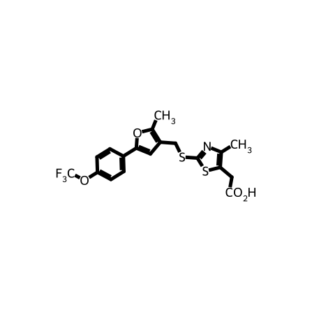 Cc1nc(SCc2cc(-c3ccc(OC(F)(F)F)cc3)oc2C)sc1CC(=O)O